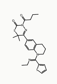 CCCC(=O)N1N=C(c2ccc3c(c2)CCCN3C(=NCC)c2cccs2)C(C)(C)SC1=O